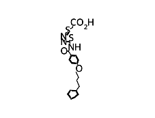 O=C(O)CSc1nnc(NC(=O)c2ccc(OCCCCc3ccccc3)cc2)s1